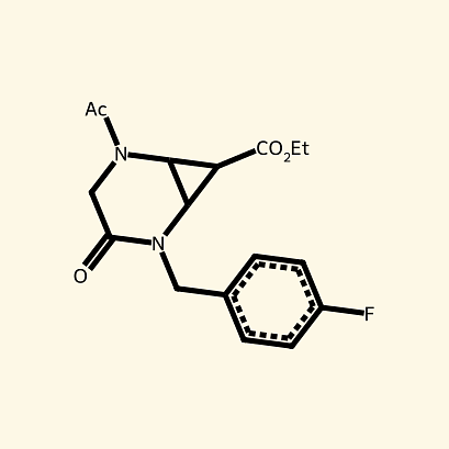 CCOC(=O)C1C2C1N(Cc1ccc(F)cc1)C(=O)CN2C(C)=O